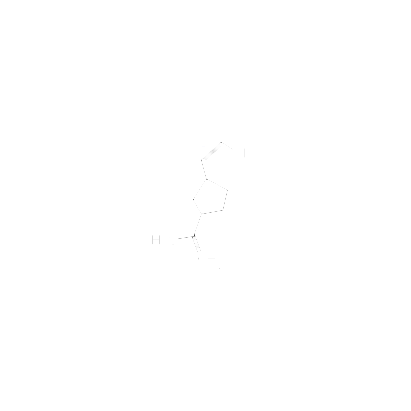 C=C(C)C1CCC(/C=C\C)C1